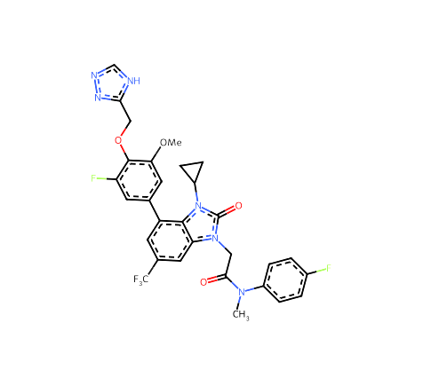 COc1cc(-c2cc(C(F)(F)F)cc3c2n(C2CC2)c(=O)n3CC(=O)N(C)c2ccc(F)cc2)cc(F)c1OCc1nnc[nH]1